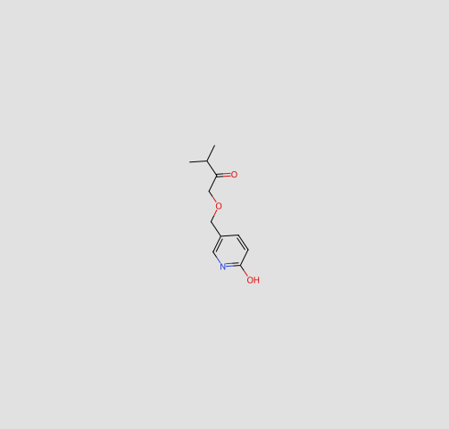 CC(C)C(=O)COCc1ccc(O)nc1